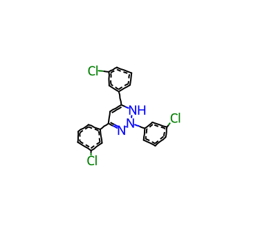 Clc1cccc(C2=CC(c3cccc(Cl)c3)=NN(c3cccc(Cl)c3)N2)c1